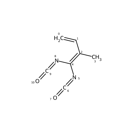 C=CC(C)=C(N=C=O)N=C=O